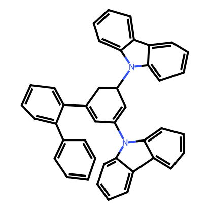 C1=C(c2ccccc2-c2ccccc2)CC(n2c3ccccc3c3ccccc32)C=C1n1c2ccccc2c2ccccc21